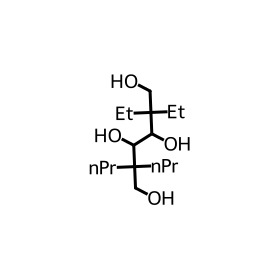 CCCC(CO)(CCC)C(O)C(O)C(CC)(CC)CO